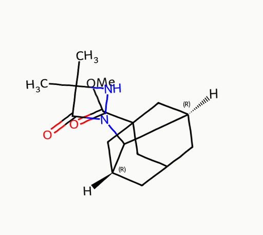 COC(=O)C12CC3C[C@H](C1)C(N1NC(C)(C)C1=O)[C@H](C3)C2